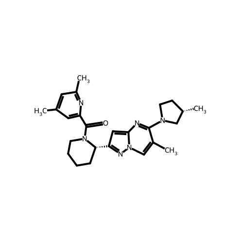 Cc1cc(C)nc(C(=O)N2CCCC[C@H]2c2cc3nc(N4CC[C@H](C)C4)c(C)cn3n2)c1